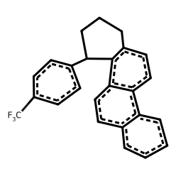 FC(F)(F)c1ccc(C2CCCc3ccc4c(ccc5ccccc54)c32)cc1